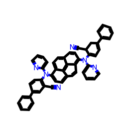 N#Cc1cc(-c2ccccc2)ccc1N(c1ccccn1)c1ccc2ccc3c(N(C4=CC=C(c5ccccc5)CC4C#N)c4ccccn4)ccc4ccc1c2c43